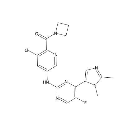 Cc1ncc(-c2nc(Nc3cnc(C(=O)N4CCC4)c(Cl)c3)ncc2F)n1C